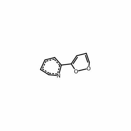 C1=COOC(c2ccccn2)=C1